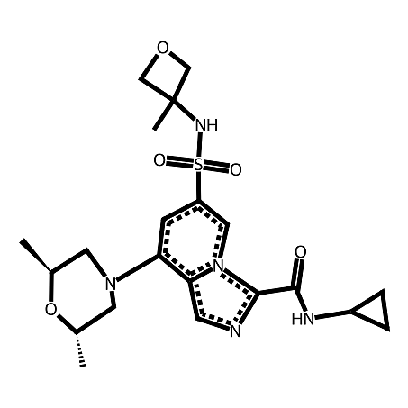 C[C@H]1CN(c2cc(S(=O)(=O)NC3(C)COC3)cn3c(C(=O)NC4CC4)ncc23)C[C@H](C)O1